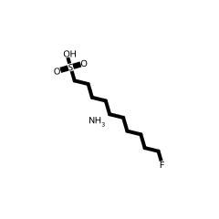 N.O=S(=O)(O)CCCCCCCCCCF